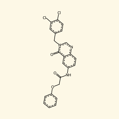 O=C(COc1ccccc1)Nc1ccc2ncn(Cc3ccc(Cl)c(Cl)c3)c(=O)c2c1